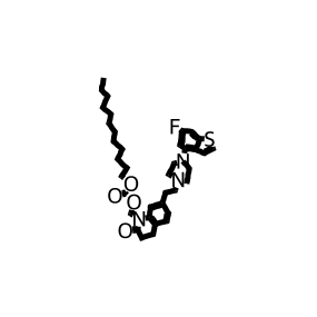 CCCCCCCCCCCCOC(=O)OCN1C(=O)CCc2ccc(CCN3CCN(c4cc(F)cc5sccc45)CC3)cc21